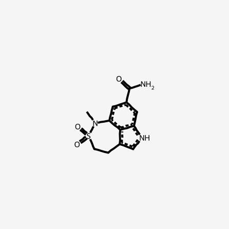 CN1c2cc(C(N)=O)cc3[nH]cc(c23)CCS1(=O)=O